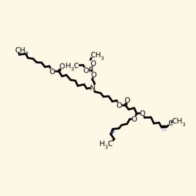 CC/C=C\CCCCOC(CCC(=O)OCCCCCCN(CCCCCCCC(=O)OCCCCCCCCC)CCOP(OCC)OCC)OCCCC/C=C\CC